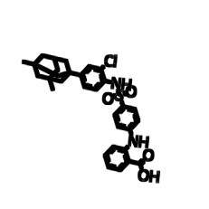 CC12CC3CC(C)(C1)CC(c1ccc(NS(=O)(=O)c4ccc(Nc5ccccc5C(=O)O)cc4)c(Cl)c1)(C3)C2